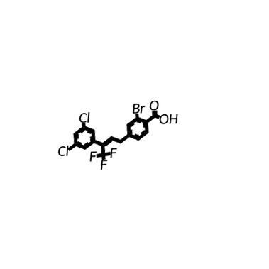 O=C(O)c1ccc(CC=C(c2cc(Cl)cc(Cl)c2)C(F)(F)F)cc1Br